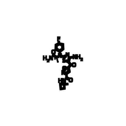 C[C@H](C(N)=O)N(c1ccc(F)cc1)c1nc(N)c(C(=O)c2cc(C(=O)NC3(C)CCC3)no2)s1